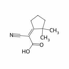 CC1(C)CCCC1=C(C#N)C(=O)O